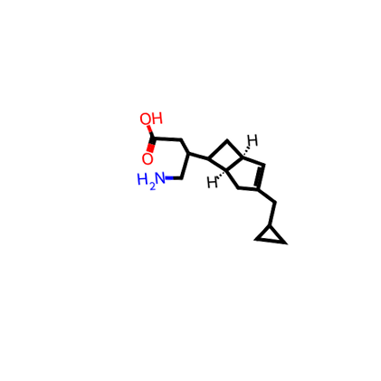 NCC(CC(=O)O)C1C[C@H]2C=C(CC3CC3)C[C@@H]12